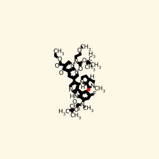 CCOC(=O)c1cn(N(CCOC)C(=O)OC(C)(C)C)c2ncc(-c3cnc4[nH]c5c(N(C)C(=O)OC(C)(C)C)cc(F)c(F)c5c4c3N3CC[C@@H]4CN(C)C[C@@H]43)cc2c1=O